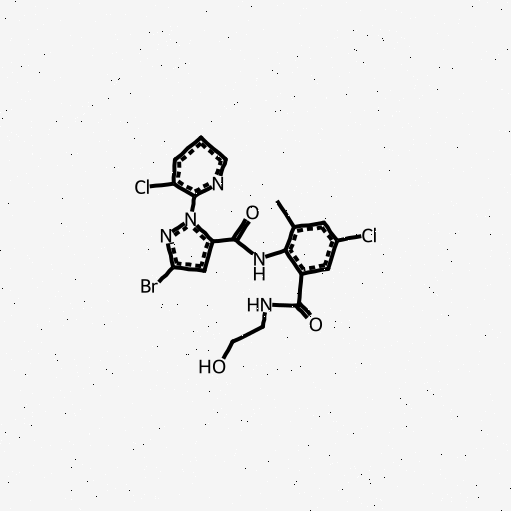 Cc1cc(Cl)cc(C(=O)NCCO)c1NC(=O)c1cc(Br)nn1-c1ncccc1Cl